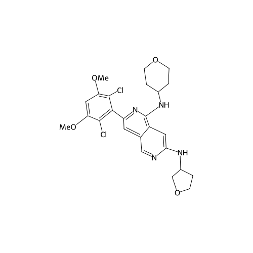 COc1cc(OC)c(Cl)c(-c2cc3cnc(NC4CCOC4)cc3c(NC3CCOCC3)n2)c1Cl